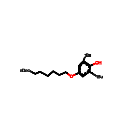 CCCCCCCCCCCCCCCCOc1cc(C(C)(C)C)c(O)c(C(C)(C)C)c1